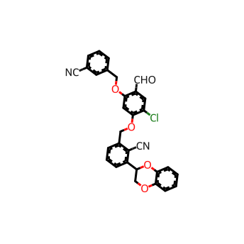 N#Cc1cccc(COc2cc(OCc3cccc(C4COc5ccccc5O4)c3C#N)c(Cl)cc2C=O)c1